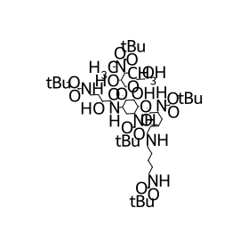 C[C@@H]([C@@H](O)[C@H](OCCO)O[C@@H]1[C@@H](O)[C@H](O[C@H]2OC(CNCCCCCNC(=O)OC(C)(C)C)=CC[C@H]2NC(=O)OC(C)(C)C)[C@@H](NC(=O)OC(C)(C)C)C[C@H]1NC(=O)[C@@H](O)CCNC(=O)OC(C)(C)C)N(C)C(=O)OC(C)(C)C